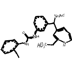 CC(=O)NC(C1=CC=CNC(CC(=O)O)=C1)c1cccc(NC(=O)Nc2ccccc2C)c1